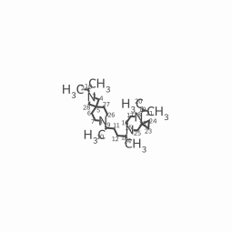 CC(C)N1CC2(CCN(C(C)CCC(C)N3CCN(C(C)C)C4(CC4)C3)CC2)C1